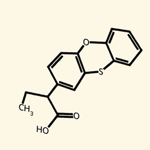 CCC(C(=O)O)c1ccc2c(c1)Sc1ccccc1O2